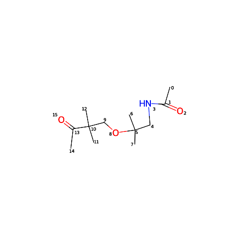 CC(=O)NCC(C)(C)OCC(C)(C)C(C)=O